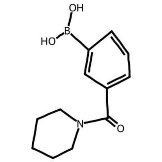 O=C(c1cccc(B(O)O)c1)N1CCCCC1